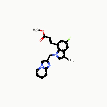 COC(=O)/C=C/c1cc(F)cc2c(C)cn(Cc3cn4ccccc4n3)c12